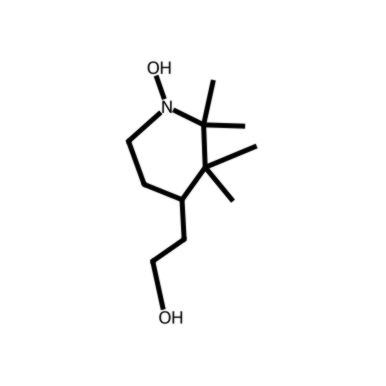 CC1(C)C(CCO)CCN(O)C1(C)C